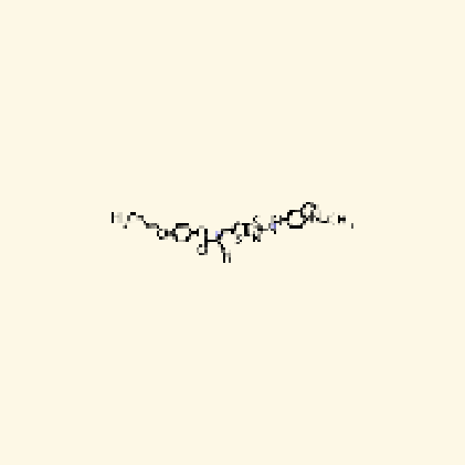 CCCCOc1ccc(OC(=O)/C(C#N)=C/c2cc3sc(/N=N/c4ccc5c(c4)CCN5CC)nc3s2)cc1